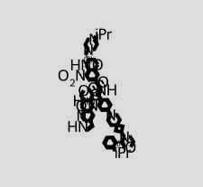 CC(C)c1ccccc1[C@@H]1COCCN1C1CC2(CCN(c3ccc(C(=O)NS(=O)(=O)c4cc5c(c([N+](=O)[O-])c4)N[C@H](CN4CCN(C(C)C)CC4)CO5)c(N4c5cc6cc[nH]c6nc5O[C@H]5COCC[C@@H]54)c3)CC2)C1